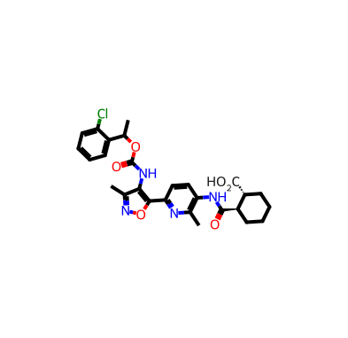 Cc1nc(-c2onc(C)c2NC(=O)OC(C)c2ccccc2Cl)ccc1NC(=O)[C@@H]1CCCC[C@H]1C(=O)O